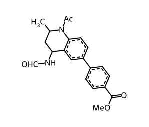 COC(=O)c1ccc(-c2ccc3c(c2)C(NC=O)CC(C)N3C(C)=O)cc1